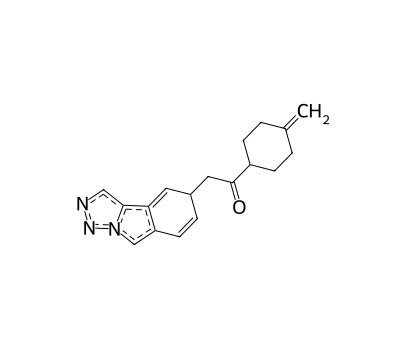 C=C1CCC(C(=O)CC2C=Cc3cn4nncc4c3=C2)CC1